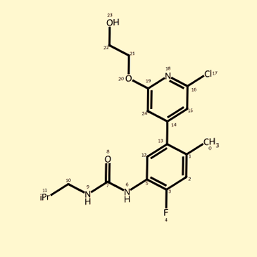 Cc1cc(F)c(NC(=O)NCC(C)C)cc1-c1cc(Cl)nc(OCCO)c1